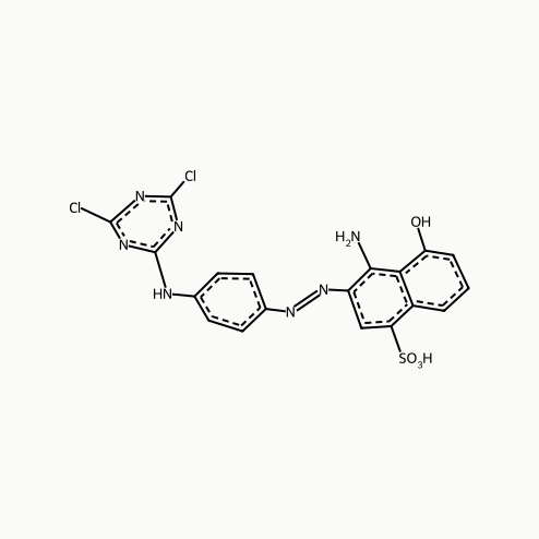 Nc1c(N=Nc2ccc(Nc3nc(Cl)nc(Cl)n3)cc2)cc(S(=O)(=O)O)c2cccc(O)c12